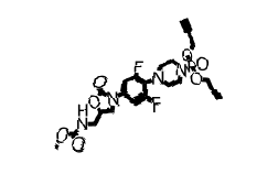 C#CCOP(=O)(OCC#C)N1CCN(c2c(F)cc(N3CC(CNC(=O)OC)OC3=O)cc2F)CC1